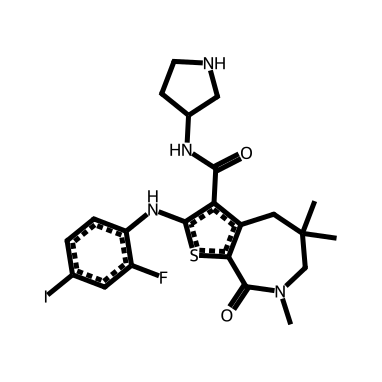 CN1CC(C)(C)Cc2c(sc(Nc3ccc(I)cc3F)c2C(=O)NC2CCNC2)C1=O